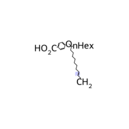 C=C/C=C/CCCCCCCC(CCCCCC)Oc1ccc(C(=O)O)cc1